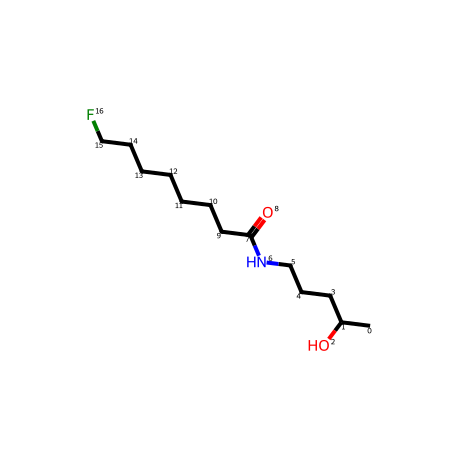 CC(O)CCCNC(=O)CCCCCCCF